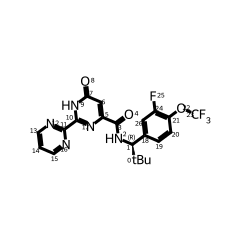 CC(C)(C)[C@@H](NC(=O)c1cc(=O)[nH]c(-c2ncccn2)n1)c1ccc(OC(F)(F)F)c(F)c1